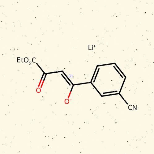 CCOC(=O)C(=O)/C=C(\[O-])c1cccc(C#N)c1.[Li+]